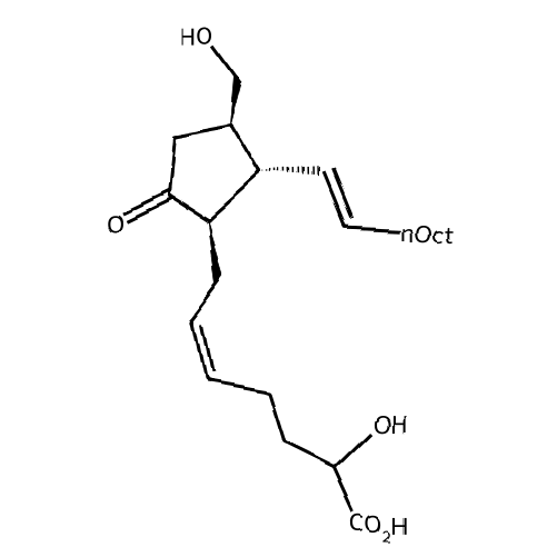 CCCCCCCC/C=C/[C@H]1[C@H](CO)CC(=O)[C@@H]1C/C=C\CCC(O)C(=O)O